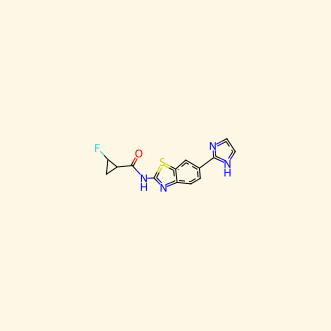 O=C(Nc1nc2ccc(-c3ncc[nH]3)cc2s1)C1CC1F